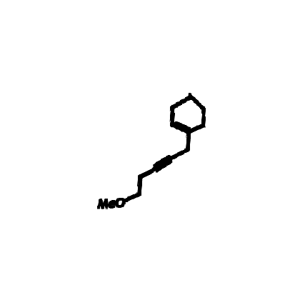 COCCC#CCC1=CC[CH]CC1